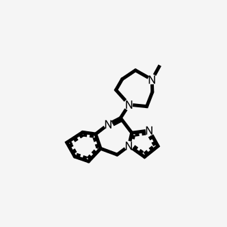 CN1CCCN(C2=Nc3ccccc3Cn3ccnc32)CC1